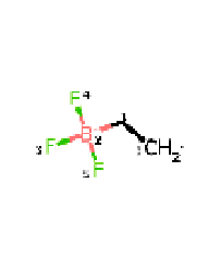 [CH2]C[B-](F)(F)F